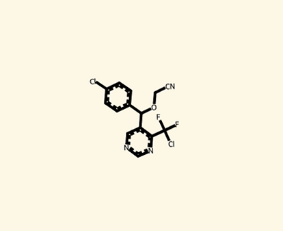 N#CCOC(c1ccc(Cl)cc1)c1cncnc1C(F)(F)Cl